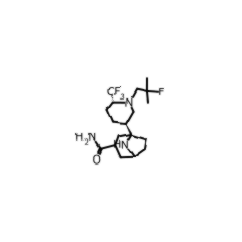 CC(C)(F)CN1C[C@@H](C23CCC(CC(C(N)=O)C2)N3)CC[C@@H]1C(F)(F)F